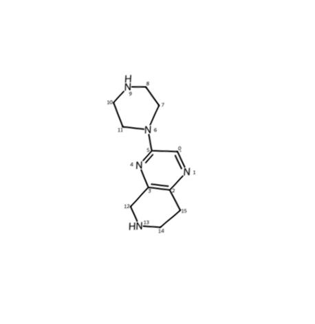 [c]1nc2c(nc1N1CCNCC1)CNCC2